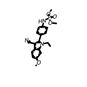 CCn1c(-c2ccc(NP(=O)(OC)OC)cc2)c(C#N)c2ccc(OC)cc21